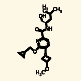 COC1CN(c2ccc(C(=O)N[C@H](CO)CC(C)C)nc2OCC2CC2)C1